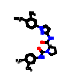 Cc1cc(-n2ccc(NC(=O)[C@@H]3CCCN3C(=O)Nc3ccc(C(F)(F)F)c(C)c3)n2)ccc1C(=O)O